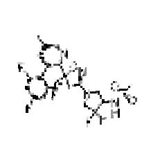 Cc1cnc(C2(CF)CC(N3C[C@@H](NS(C)(=O)=O)C(F)(F)C3)=NO2)c(-c2c(F)cc(F)cc2F)c1